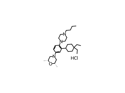 CCCCN1CCN(c2ccc(N3C[C@@H](C)O[C@@H](C)C3)cc2C2CCC(CC)(CC)CC2)CC1.Cl